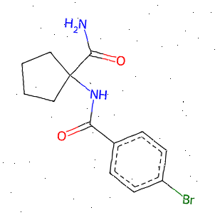 NC(=O)C1(NC(=O)c2ccc(Br)cc2)CCCC1